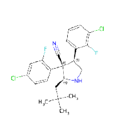 CC(C)(C)C[C@@H]1NC[C@H](c2cccc(Cl)c2F)[C@@]1(C#N)c1ccc(Cl)cc1F